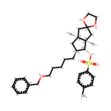 Cc1ccc(S(=O)(=O)O[C@@H]2[C@@H](CCCCCOCc3ccccc3)C[C@H]3CC4(C[C@H]32)OCCO4)cc1